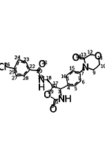 O=C1NC(c2ccc(N3CCOCC3=O)cc2)[C@H](CNC(=O)c2ccc(Cl)cc2)O1